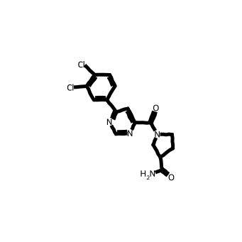 NC(=O)C1CCN(C(=O)c2cc(-c3ccc(Cl)c(Cl)c3)ncn2)C1